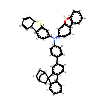 C1=CC2Sc3cc(N(c4ccc(-c5ccc6c(c5)C5(CC7CCC5C7)c5ccccc5-6)cc4)c4ccc5c(c4)oc4ccccc45)ccc3C2C=C1